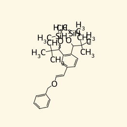 C[SiH](C)OC(c1ccc(C=COCc2ccccc2)cc1C(O[SiH](C)C)C(C)(C)C)C(C)(C)C